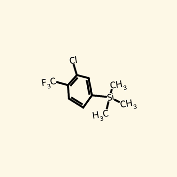 C[Si](C)(C)c1ccc(C(F)(F)F)c(Cl)c1